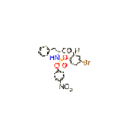 O=C(O)[C@H](Cc1ccccc1)NP(=O)(Oc1ccc(Br)cc1)Oc1ccc([N+](=O)[O-])cc1